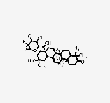 CC1(C)CC[C@]2(C(O)[C@@H]3OC4O[C@@H]4C(O)C3O)CC[C@]3(C)C(=CCC4[C@@]5(C)CCC(=O)C(C)(C)C5CC[C@]43C)C2C1